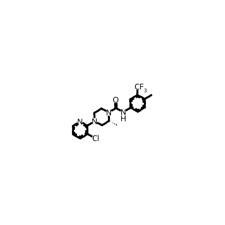 Cc1ccc(NC(=O)N2CCN(c3ncccc3Cl)C[C@H]2C)cc1C(F)(F)F